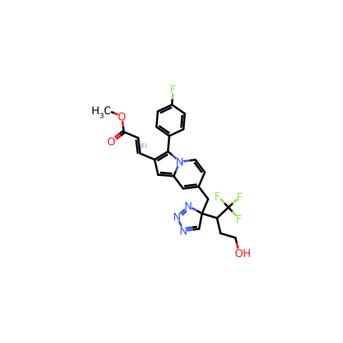 COC(=O)/C=C/c1cc2cc(CC3(C(CCO)C(F)(F)F)C=NN=N3)ccn2c1-c1ccc(F)cc1